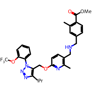 COC(=O)c1ccc(CNCc2ccc(OCc3c(C(C)C)nnn3-c3ccccc3OC(F)(F)F)nc2C)cc1C